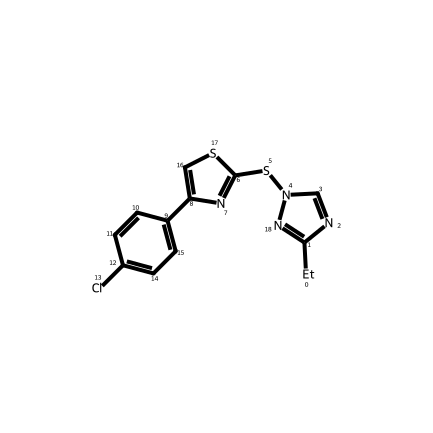 CCc1ncn(Sc2nc(-c3ccc(Cl)cc3)cs2)n1